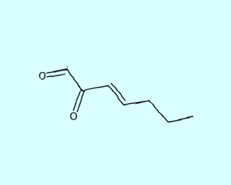 CCCC=CC(=O)[C]=O